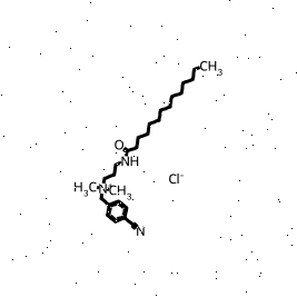 CCCCCCCCCCCCCC(=O)NCCC[N+](C)(C)Cc1ccc(C#N)cc1.[Cl-]